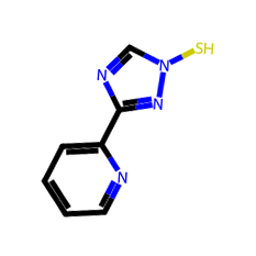 Sn1cnc(-c2ccccn2)n1